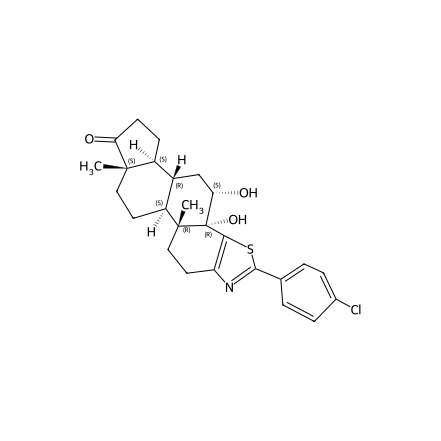 C[C@]12CC[C@H]3[C@@H](C[C@H](O)[C@@]4(O)c5sc(-c6ccc(Cl)cc6)nc5CC[C@]34C)[C@@H]1CCC2=O